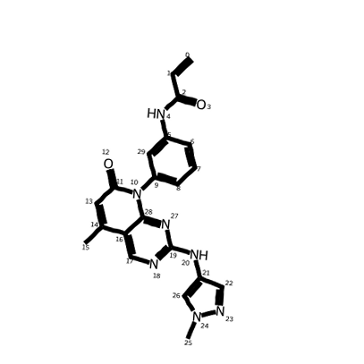 C=CC(=O)Nc1cccc(-n2c(=O)cc(C)c3cnc(Nc4cnn(C)c4)nc32)c1